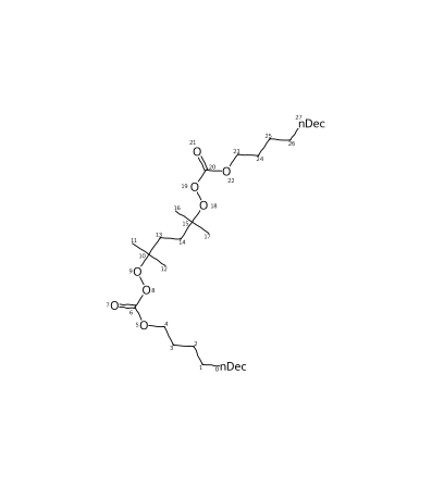 CCCCCCCCCCCCCCOC(=O)OOC(C)(C)CCC(C)(C)OOC(=O)OCCCCCCCCCCCCCC